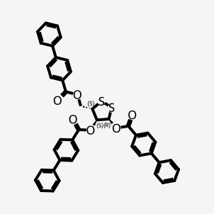 O=C(OC[C@@H]1SS[C@@H](OC(=O)c2ccc(-c3ccccc3)cc2)[C@H]1OC(=O)c1ccc(-c2ccccc2)cc1)c1ccc(-c2ccccc2)cc1